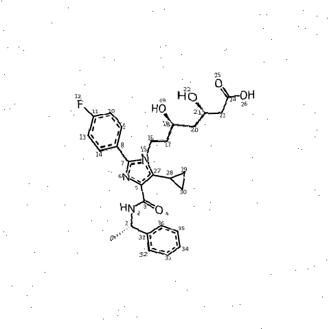 C[C@H](NC(=O)c1nc(-c2ccc(F)cc2)n(CC[C@@H](O)C[C@@H](O)CC(=O)O)c1C1CC1)c1ccccc1